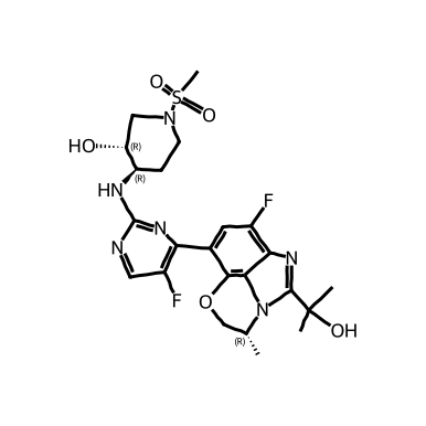 C[C@@H]1COc2c(-c3nc(N[C@@H]4CCN(S(C)(=O)=O)C[C@H]4O)ncc3F)cc(F)c3nc(C(C)(C)O)n1c23